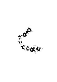 CC(C)(c1ccc(OCc2ccnc(N3CCN(CC4CCN(C5CCN(c6ccc7c(c6)C(=O)N(C6CCC(=O)NC6=O)C7=O)CC5)CC4)CC3)n2)cc1)c1cc(Cl)cc(C#N)c1